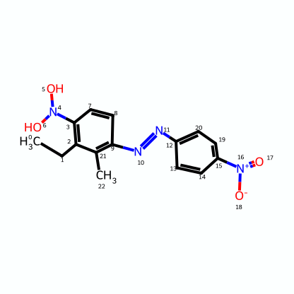 CCc1c(N(O)O)ccc(N=Nc2ccc([N+](=O)[O-])cc2)c1C